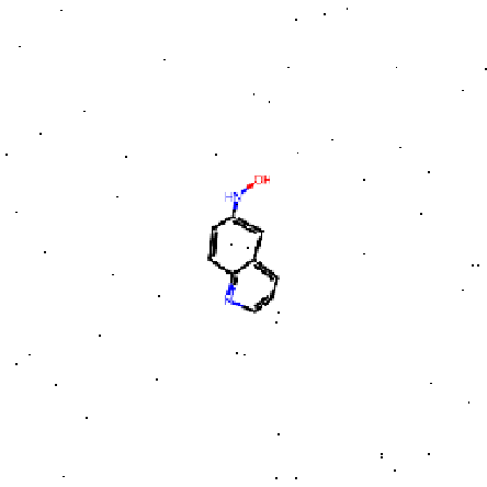 ONc1ccc2ncccc2c1